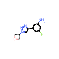 Nc1cc(F)cc(-c2cn(C3COC3)nn2)c1